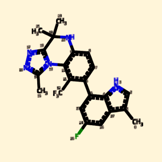 Cc1c[nH]c2c(-c3ccc4c(c3C(F)(F)F)-n3c(C)nnc3C(C)(C)N4)cc(F)cc12